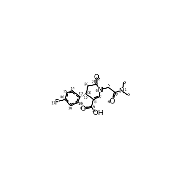 CN(C)C(=O)CN1C=C(C(=O)O)[C@H](c2ccc(F)cc2)CC1=O